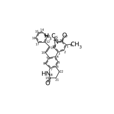 Cc1cc(-c2cc3c(cc2C=Cc2ccccc2)NC(=O)CC3)cn(C)c1=O